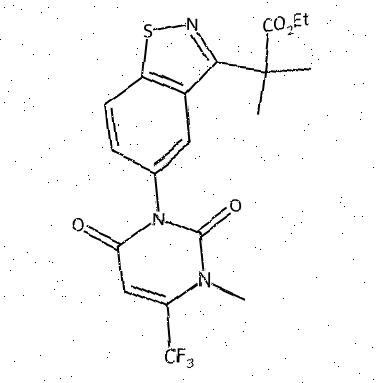 CCOC(=O)C(C)(C)c1nsc2ccc(-n3c(=O)cc(C(F)(F)F)n(C)c3=O)cc12